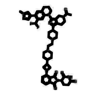 CC(=O)N1CCc2c(c(N3CCCc4cc(-c5cnn(C)c5)c(C(F)F)cc43)nn2C2CCN(CCN3CCC(C4CN(c5cccc6c5C(=O)N(C5CCC(=O)NC5=O)C6=O)C4)CC3)CC2)C1